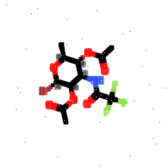 CC(=O)O[C@@H]1[C@@H](NC(=O)C(F)(F)F)[C@@H](OC(C)=O)[C@H](Br)O[C@H]1C